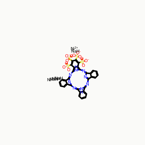 O=S(=O)([O-])c1c(S(=O)(=O)[O-])c(S(=O)(=O)[O-])c2c3nc4nc(nc5[nH]c(nc6nc(nc([nH]3)c2c1S(=O)(=O)[O-])-c1ccccc1-6)c1ccccc51)-c1ccccc1-4.[NaH].[NaH].[NaH].[NaH].[Ni+2].[Ni+2]